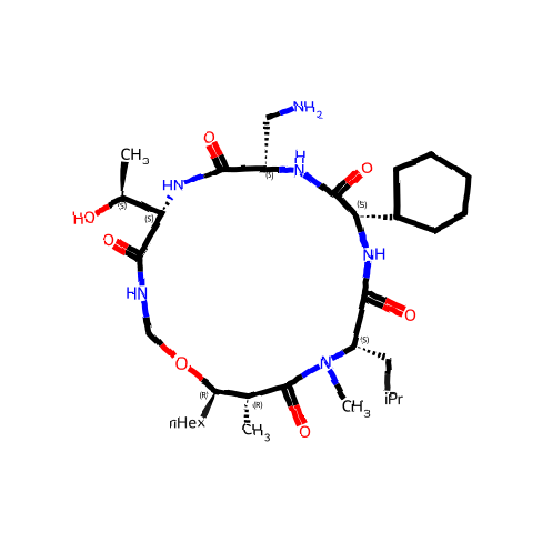 CCCCCC[C@H]1OCNC(=O)[C@H]([C@H](C)O)NC(=O)[C@H](CN)NC(=O)[C@H](C2CCCCC2)NC(=O)[C@H](CC(C)C)N(C)C(=O)[C@@H]1C